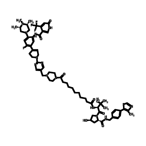 Cc1ncsc1-c1ccc(CNC(=O)[C@@H]2C[C@@H](O)CN2C(=O)[C@@H](NC(=O)CCCCCCCCCC(=O)N2CCN(Cc3cnc(N4CC=C(c5cc(NC(=O)c6c[nH]c(=O)cc6C(F)(F)F)c(N6C[C@@H](C)N(C)[C@@H](C)C6)cc5F)CC4)nc3)CC2)C(C)(C)C)cc1